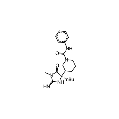 CCCC[C@]1(C2CCCN(C(=O)Nc3ccccc3)C2)NC(=N)N(C)C1=O